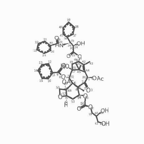 CC(=O)O[C@H]1C(=O)[C@@]2(C)C([C@H](OC(=O)c3ccccc3)[C@]3(O)C[C@H](OC(=O)[C@H](O)[C@@H](NC(=O)c4ccccc4)c4ccccc4)C(C)=C1C3(C)C)[C@]1(OC(C)=O)CO[C@@H]1C[C@@H]2OC(=O)OCC(O)CO